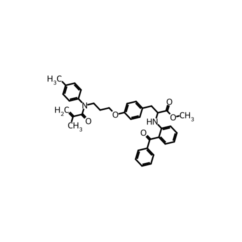 C=C(C)C(=O)N(CCCOc1ccc(CC(Nc2ccccc2C(=O)c2ccccc2)C(=O)OC)cc1)c1ccc(C)cc1